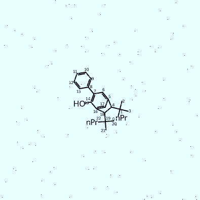 CCCC(C)(C)C1c2cc(-c3ccccc3)c(O)c(c2)C1C(C)(C)CCC